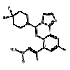 CC(=N[S+]([O-])C(C)(C)C)c1cc(C)cc2c1nc(N1CCC(F)(F)CC1)n1ccnc21